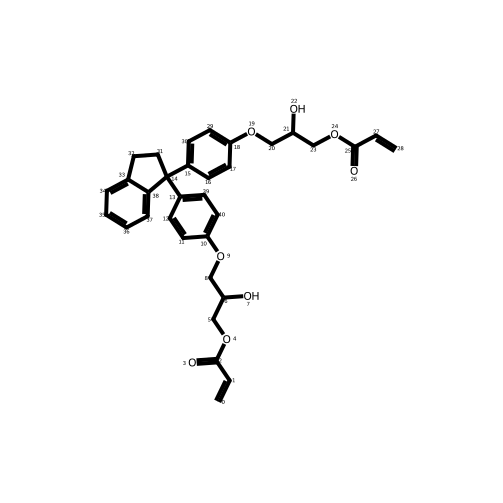 C=CC(=O)OCC(O)COc1ccc(C2(c3ccc(OCC(O)COC(=O)C=C)cc3)CCc3ccccc32)cc1